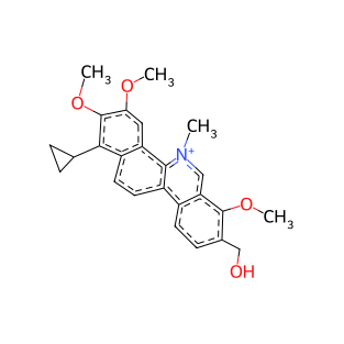 COc1cc2c(ccc3c4ccc(CO)c(OC)c4c[n+](C)c23)c(C2CC2)c1OC